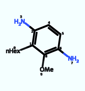 CCCCCCc1c(N)ccc(N)c1OC